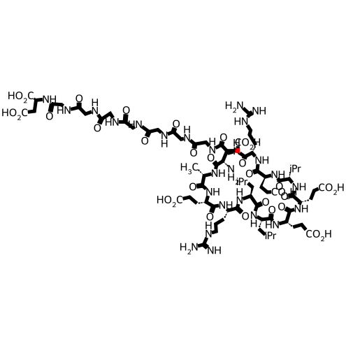 CC(C)C[C@H](NC(=O)[C@H](CCCNC(=N)N)NC(=O)[C@H](CCC(=O)O)NC(=O)[C@H](C)NC(=O)[C@@H](N)CCC(=O)O)C(=O)N[C@@H](CC(C)C)C(=O)N[C@@H](CCC(=O)O)C(=O)N[C@@H](CCC(=O)O)C(=O)N[C@H](C(=O)N[C@@H](CCC(=O)O)C(=O)N[C@@H](CCCNC(=N)N)C(=O)NCC(=O)NCC(=O)NCC(=O)NCC(=O)NCC(=O)NCC(=O)NCC(=O)NCC(=O)N[C@@H](CC(=O)O)C(=O)O)C(C)C